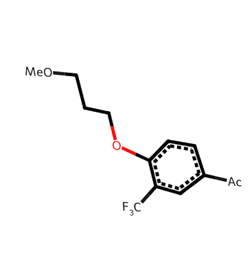 COCCCOc1ccc(C(C)=O)cc1C(F)(F)F